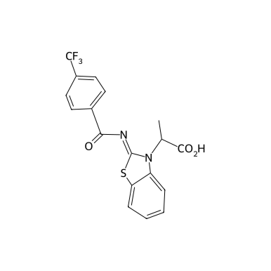 CC(C(=O)O)n1c(=NC(=O)c2ccc(C(F)(F)F)cc2)sc2ccccc21